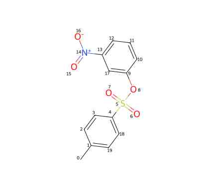 Cc1ccc(S(=O)(=O)Oc2cccc([N+](=O)[O-])c2)cc1